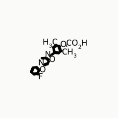 Cc1cc(-c2nc3cnc(Oc4ccccc4F)cc3o2)cc(C)c1OCC(=O)O